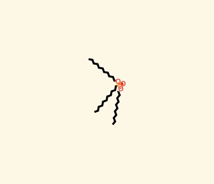 CCCCCCCCCCCOP(=O)(CCCCCCCCCCC)OCCCCCCCCCCC